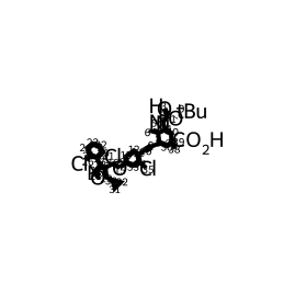 CC(C)(C)OC(=O)N1NC=C2C(C#Cc3ccc(OCc4c(-c5c(Cl)cccc5Cl)noc4C4CC4)cc3Cl)=CC(C)(C(=O)O)C=C21